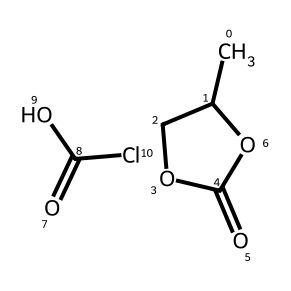 CC1COC(=O)O1.O=C(O)Cl